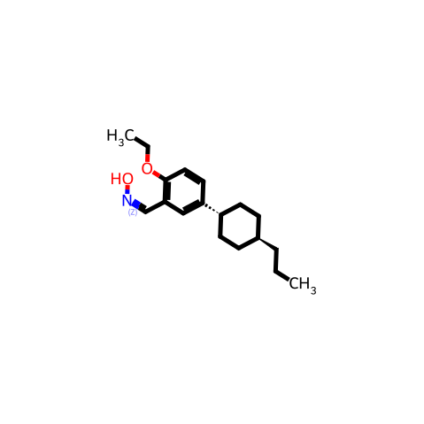 CCC[C@H]1CC[C@H](c2ccc(OCC)c(/C=N\O)c2)CC1